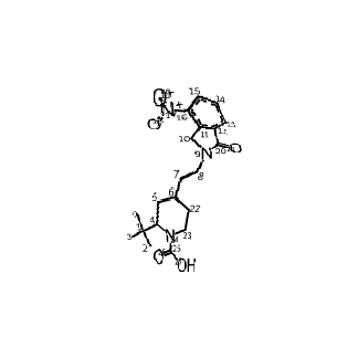 CC(C)(C)C1CC(CCN2Cc3c(cccc3[N+](=O)[O-])C2=O)CCN1C(=O)O